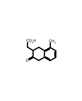 Cc1cccc2c1CC(CC(=O)O)C(=O)C2